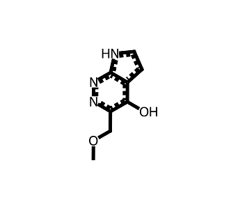 COCc1nnc2[nH]ccc2c1O